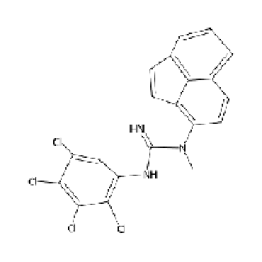 CN(C(=N)Nc1cc(Cl)c(Cl)c(Cl)c1Cl)c1ccc2cccc3c2c1C=C3